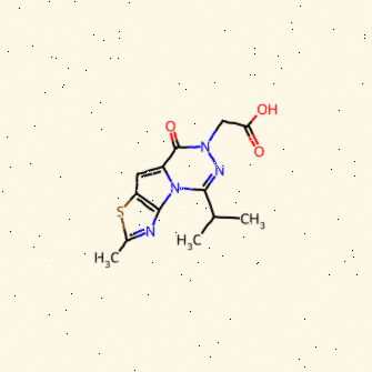 Cc1nc2c(cc3c(=O)n(CC(=O)O)nc(C(C)C)n32)s1